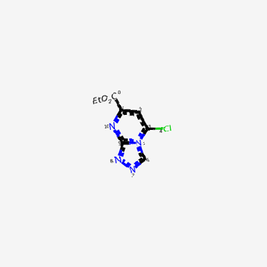 CCOC(=O)c1cc(Cl)n2cnnc2n1